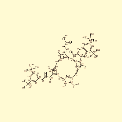 CCC1c2cc3[nH]c4c(c5nc(cc6[nH]c(cc(n2)C1C)c(C(C)NCc1cc(C(F)(F)F)cc(C(F)(F)F)c1)c6C)C(C)[C@@H]5CCC(=O)OC)C(=O)N(Cc1cc(C(F)(F)F)cc(C(F)(F)F)c1)C(=O)c4c3C